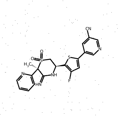 C[C@@]1(c2ccccn2)C(=N)N[C@H](c2sc(-c3cncc(C#N)c3)cc2F)CS1(=O)=O